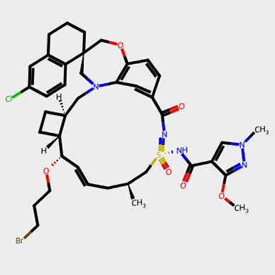 COc1nn(C)cc1C(=O)N[S@@]1(=O)=NC(=O)c2ccc3c(c2)N(C[C@@H]2CC[C@H]2[C@@H](OCCCBr)/C=C/C[C@H](C)C1)C[C@@]1(CCCc2cc(Cl)ccc21)CO3